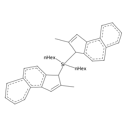 CCCCCC[Si](CCCCCC)(C1C(C)=Cc2c1ccc1ccccc21)C1C(C)=Cc2c1ccc1ccccc21